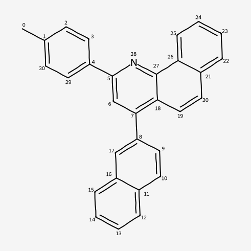 Cc1ccc(-c2cc(-c3ccc4ccccc4c3)c3ccc4ccccc4c3n2)cc1